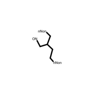 CCCCCCCCCCCC(CCCCCCCCCC)CN=O